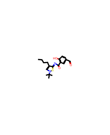 CCCCc1cn(C(C)(C)C)s/c1=N\C(=O)c1cc(C=O)ccc1O